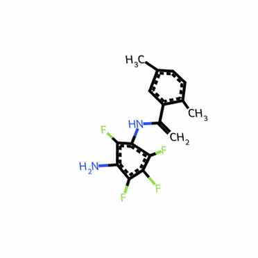 C=C(Nc1c(F)c(N)c(F)c(F)c1F)c1cc(C)ccc1C